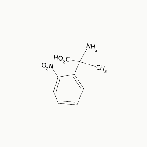 CC(N)(C(=O)O)c1ccccc1[N+](=O)[O-]